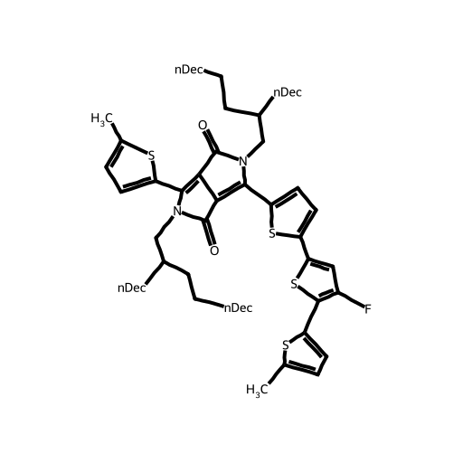 CCCCCCCCCCCCC(CCCCCCCCCC)CN1C(=O)C2=C(c3ccc(-c4cc(F)c(-c5ccc(C)s5)s4)s3)N(CC(CCCCCCCCCC)CCCCCCCCCCCC)C(=O)C2=C1c1ccc(C)s1